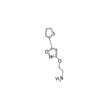 NCCOc1cc(-c2cccs2)on1